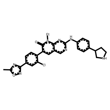 CCn1c(=O)c(-c2ccc(-c3noc(C)n3)cc2Cl)cc2cnc(Nc3ccc(C4CCNC4)cc3)nc21